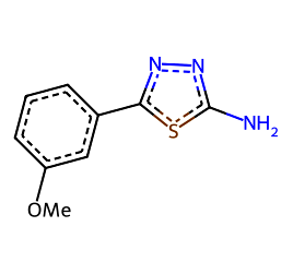 COc1cccc(-c2nnc(N)s2)c1